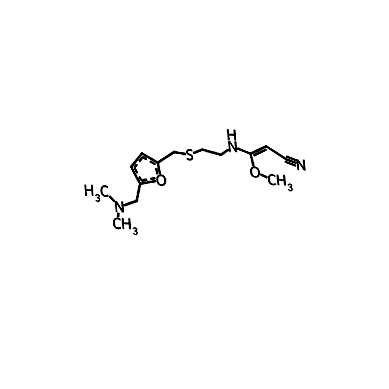 COC(=CC#N)NCCSCc1ccc(CN(C)C)o1